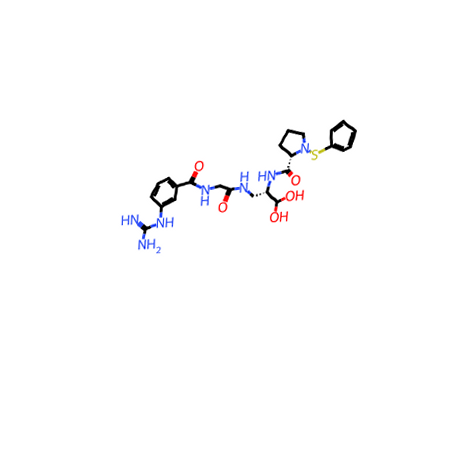 N=C(N)Nc1cccc(C(=O)NCC(=O)NC[C@H](NC(=O)[C@@H]2CCCN2Sc2ccccc2)C(O)O)c1